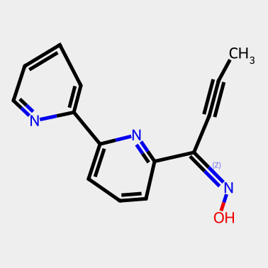 CC#C/C(=N/O)c1cccc(-c2ccccn2)n1